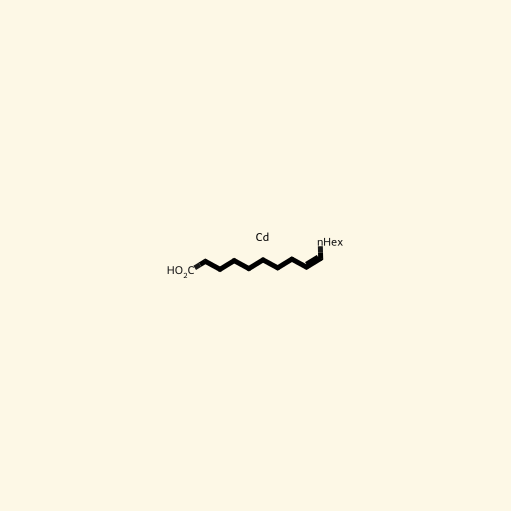 CCCCCC/C=C\CCCCCCCC(=O)O.[Cd]